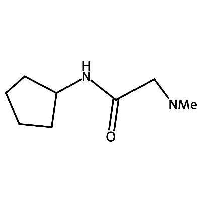 CNCC(=O)NC1CCCC1